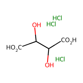 Cl.Cl.Cl.O=C(O)C(O)C(O)C(=O)O